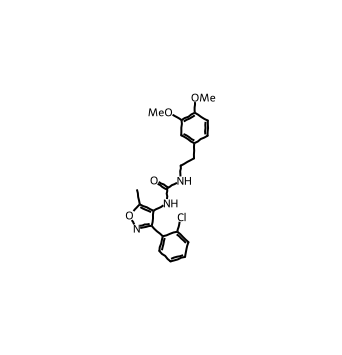 COc1ccc(CCNC(=O)Nc2c(-c3ccccc3Cl)noc2C)cc1OC